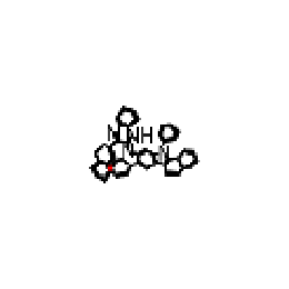 C1=CC2C=CC3=C(C2C=C1)N(c1ccccc1)C1C=C2C(=CC31)C1C=CC=CC1N2C1Nc2ccccc2N=C1C1=Cc2ccccc2CC1